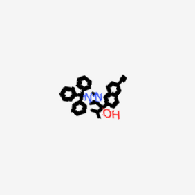 C#Cc1ccc2cc(C(O)(c3cn(C(c4ccccc4)(c4ccccc4)c4ccccc4)cn3)C(C)C)ccc2c1